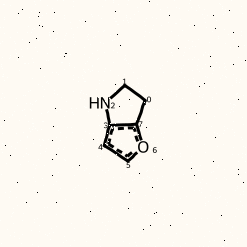 [CH]1CNc2ccoc21